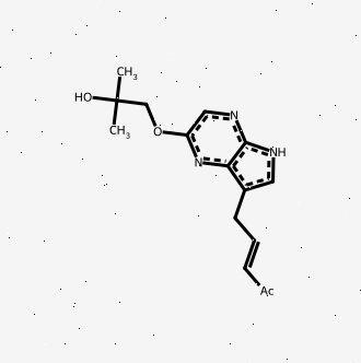 CC(=O)C=CCc1c[nH]c2ncc(OCC(C)(C)O)nc12